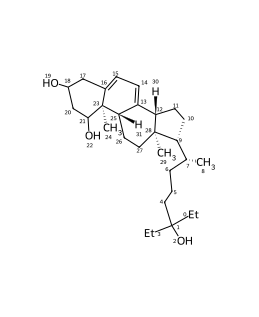 CCC(O)(CC)CCC[C@@H](C)[C@H]1CC[C@H]2C3=CC=C4CC(O)CC(O)[C@]4(C)[C@H]3CC[C@]12C